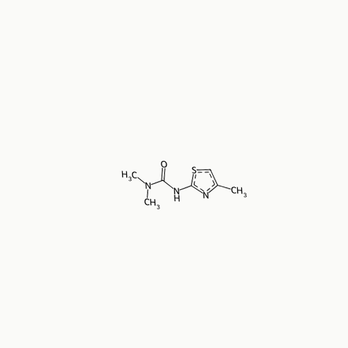 Cc1csc(NC(=O)N(C)C)n1